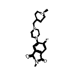 CN1CCC(CN2CCN(c3cc4c(cc3F)C(=O)N(C)C4=O)CC2)CC1